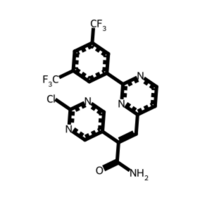 NC(=O)/C(=C/c1ccnc(-c2cc(C(F)(F)F)cc(C(F)(F)F)c2)n1)c1cnc(Cl)nc1